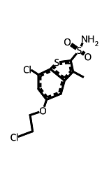 Cc1c(S(N)(=O)=O)sc2c(Cl)cc(OCCCl)cc12